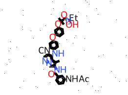 CCN(O)C(=O)C(C)(C)Oc1cccc(Oc2ccc(Nc3c(C#N)cnn4cc(NC(=O)c5cccc(NC(C)=O)c5)c(C)c34)cc2)c1